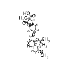 COc1ccc2ncc(COc3ccc(CC(C)(C(=O)O)C(=O)O)cc3)c(OC(C)C)c2c1